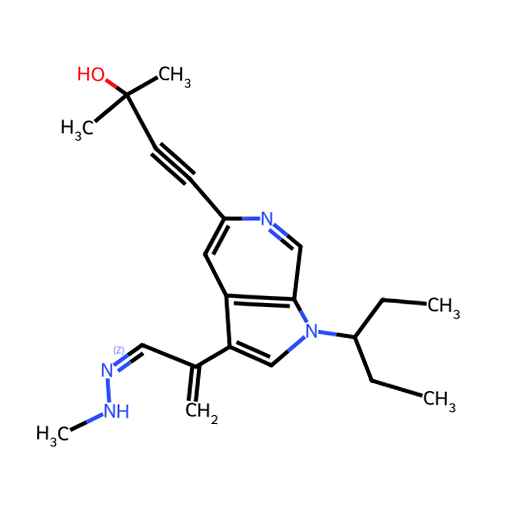 C=C(/C=N\NC)c1cn(C(CC)CC)c2cnc(C#CC(C)(C)O)cc12